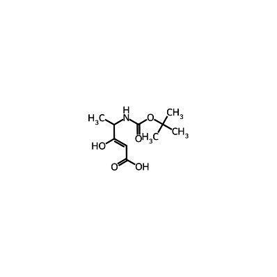 CC(NC(=O)OC(C)(C)C)C(O)=CC(=O)O